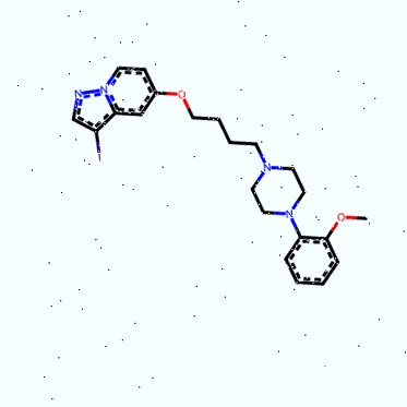 COc1ccccc1N1CCN(CCCCOc2ccn3ncc(I)c3c2)CC1